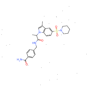 Cc1cn(C(C)C(=O)NCc2ccc(C(N)=O)cc2)c2ccc(S(=O)(=O)N3CCCCC3)cc12